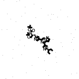 CCC(CC)n1cc(-c2nc(-c3cnn(C[C@H]4COC(C)(C)N4C(=O)OC(C)(C)C)c3)cn3nccc23)cn1